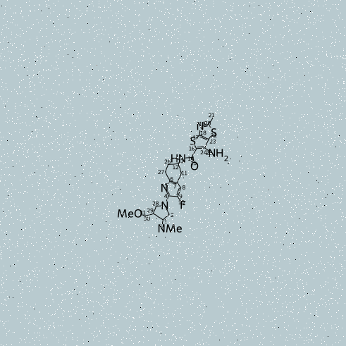 CNC1CN(c2nc3c(cc2F)CC(NC(=O)c2sc4nc(C)sc4c2N)CC3)CC1COC